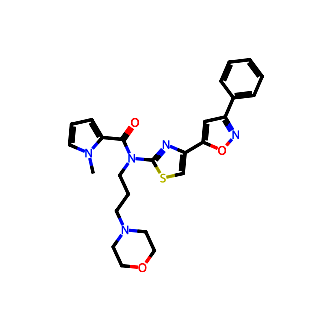 Cn1cccc1C(=O)N(CCCN1CCOCC1)c1nc(-c2cc(-c3ccccc3)no2)cs1